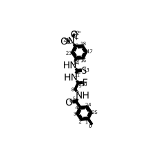 Cc1ccc(C(=O)NCC(F)NC(=S)Nc2cccc([N+](=O)[O-])c2)cc1